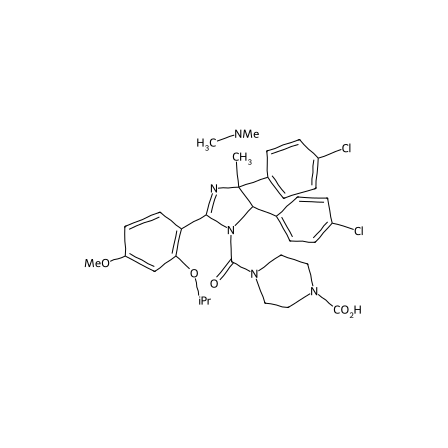 CNC.COc1ccc(C2=NC(C)(c3ccc(Cl)cc3)C(c3ccc(Cl)cc3)N2C(=O)N2CCN(C(=O)O)CC2)c(OC(C)C)c1